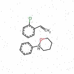 C=Cc1ccccc1Cl.c1ccc([SiH]2CCCCO2)cc1